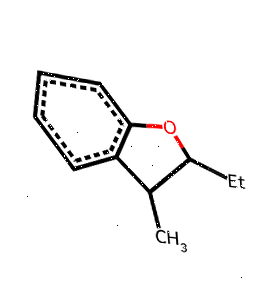 CCC1Oc2ccccc2C1C